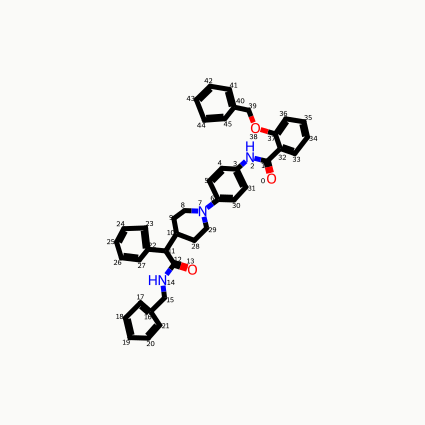 O=C(Nc1ccc(N2CCC(C(C(=O)NCc3ccccc3)c3ccccc3)CC2)cc1)c1ccccc1OCc1ccccc1